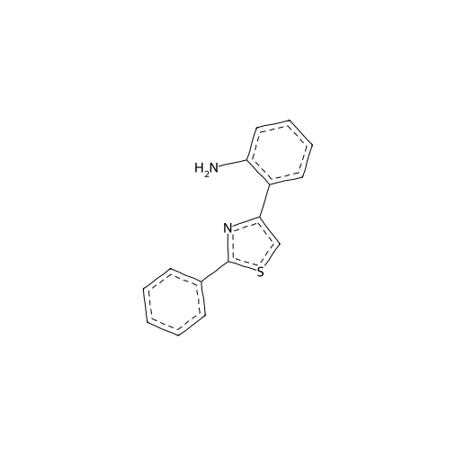 Nc1ccccc1-c1csc(-c2ccccc2)n1